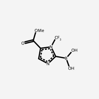 COC(=O)c1cnc(B(O)O)n1C(F)(F)F